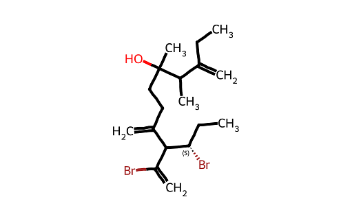 C=C(Br)C(C(=C)CCC(C)(O)C(C)C(=C)CC)[C@@H](Br)CC